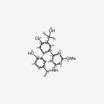 COc1nc(NC(C)c2ccc(O)cc2)nc(-c2ccc(Cl)c(C(C)(C)O)c2)n1